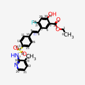 CCOC(=O)c1cc(/C=C/c2ccc(S(=O)(=O)Nc3ncccc3C)cc2)c(F)cc1O